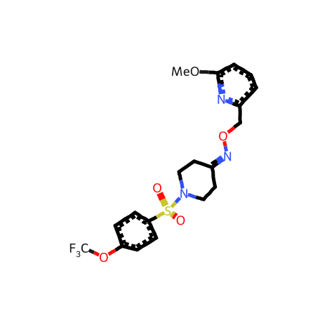 COc1cccc(CON=C2CCN(S(=O)(=O)c3ccc(OC(F)(F)F)cc3)CC2)n1